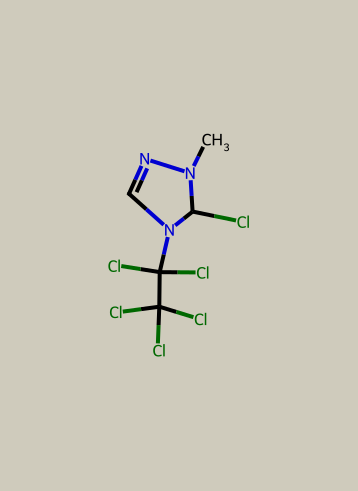 CN1N=CN(C(Cl)(Cl)C(Cl)(Cl)Cl)C1Cl